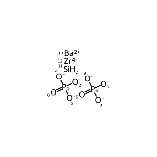 O=P([O-])([O-])[O-].O=P([O-])([O-])[O-].[Ba+2].[SiH4].[Zr+4]